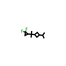 CC(C)C1CC(C(C)(C)C2CC2(F)F)C1